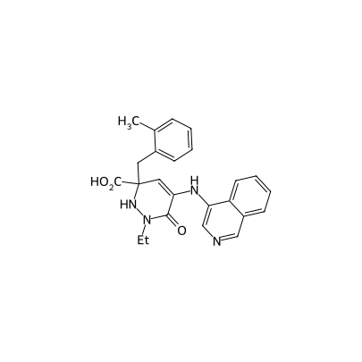 CCN1NC(Cc2ccccc2C)(C(=O)O)C=C(Nc2cncc3ccccc23)C1=O